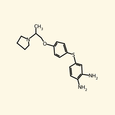 CC(COc1ccc(Sc2ccc(N)c(N)c2)cc1)N1CCCC1